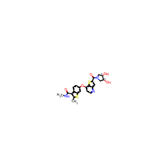 CNC(=O)c1c(C)sc2cc(Oc3ccnc4cc(C(=O)N5C[C@@H](O)[C@@H](O)C5)sc34)ccc12